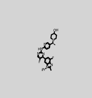 Cc1nc2c(F)cc(-c3nc(Nc4ccc([C@H](C)N5CCC(O)CC5)cn4)ncc3F)cc2n1C(C)C